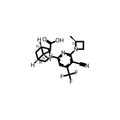 C[C@H]1CCN1c1nc(N2C[C@H]3C[C@@H](C2)[C@H]3CC(=O)O)cc(C(F)(F)F)c1C#N